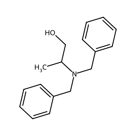 CC(CO)N(Cc1ccccc1)Cc1ccccc1